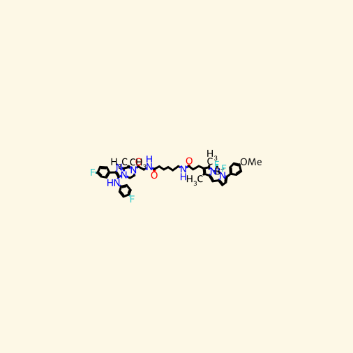 COc1ccc(-c2ccc3n2[B-](F)(F)[N+]2=C(C)C(CCC(=O)NCCCCCC(=O)NCC(=O)N4CCn5c(nc(-c6ccc(F)cc6)c5Nc5ccc(F)cc5)C4(C)C)=C(C)C2=C3)cc1